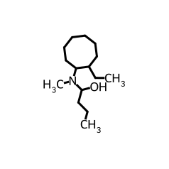 CCCC(O)N(C)C1CCCCCCC1CC